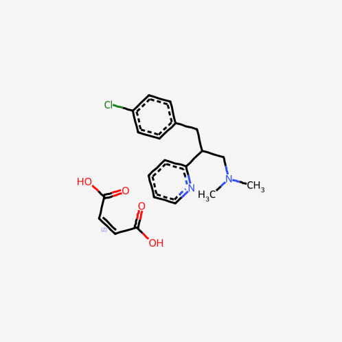 CN(C)CC(Cc1ccc(Cl)cc1)c1ccccn1.O=C(O)/C=C\C(=O)O